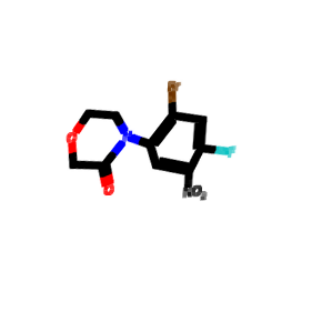 O=C1COCCN1c1cc([N+](=O)[O-])c(F)cc1Br